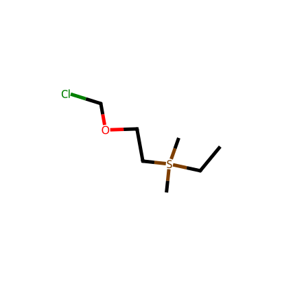 CCS(C)(C)CCOCCl